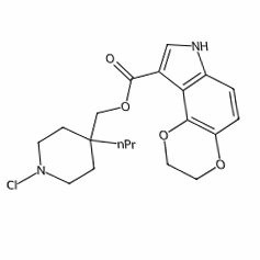 CCCC1(COC(=O)c2c[nH]c3ccc4c(c23)OCCO4)CCN(Cl)CC1